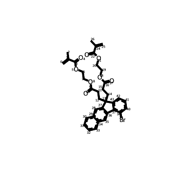 C=C(C)C(=O)OCCOC(=O)CCC1(CCC(=O)OCCOC(=O)C(=C)C)c2cc3ccccc3cc2-c2c(Br)cccc21